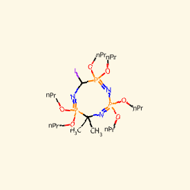 CCCOP1(OCCC)=NC(C)(C)P(OCCC)(OCCC)=NC(I)P(OCCC)(OCCC)=N1